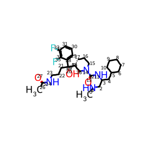 CNCC(CC1CCCCC1)NC(=O)N1CCC[C@@H]([C@@](O)(CCCNC(C)=O)c2cccc(F)c2F)C1